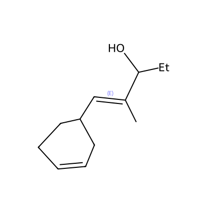 CCC(O)/C(C)=C/C1CC=CCC1